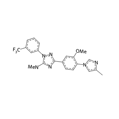 CNc1nc(-c2ccc(-n3cnc(C)c3)c(OC)c2)nn1-c1cccc(C(F)(F)F)c1